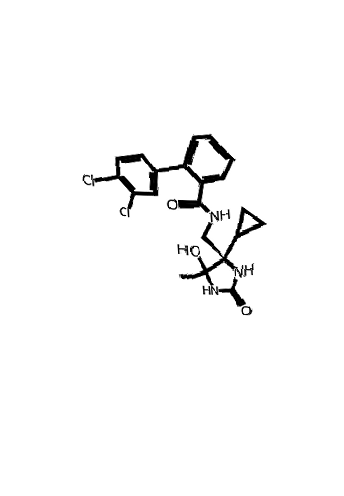 CC1(O)NC(=O)N[C@@]1(CNC(=O)c1ccccc1-c1ccc(Cl)c(Cl)c1)C1CC1